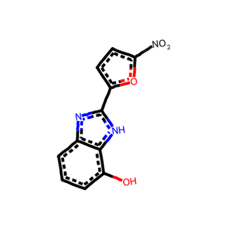 O=[N+]([O-])c1ccc(-c2nc3cccc(O)c3[nH]2)o1